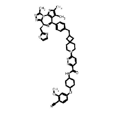 COc1cc(OC2CCC(NC(=O)c3ccc(N4CCC5(CC4)CC(Cc4ccc(C6=N[C@@H](Cc7ncco7)c7nnc(C)n7-c7sc(C)c(C)c76)cc4)C5)nn3)CC2)ccc1C#N